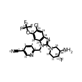 N#Cc1ccc(Cn2c(N3CC[C@@H](F)[C@H](N)C3)nc3cc(Cl)c(OC(F)(F)F)cc32)nc1